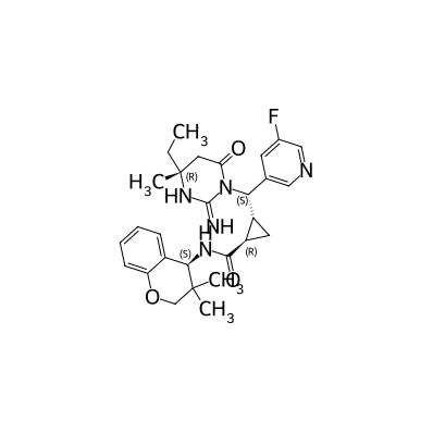 CC[C@]1(C)CC(=O)N([C@H](c2cncc(F)c2)C2C[C@H]2C(=O)N[C@@H]2c3ccccc3OCC2(C)C)C(=N)N1